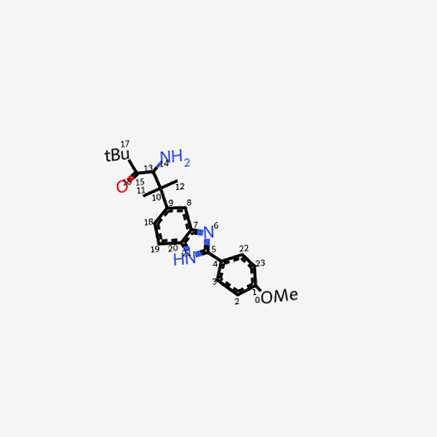 COc1ccc(-c2nc3cc(C(C)(C)C(N)C(=O)C(C)(C)C)ccc3[nH]2)cc1